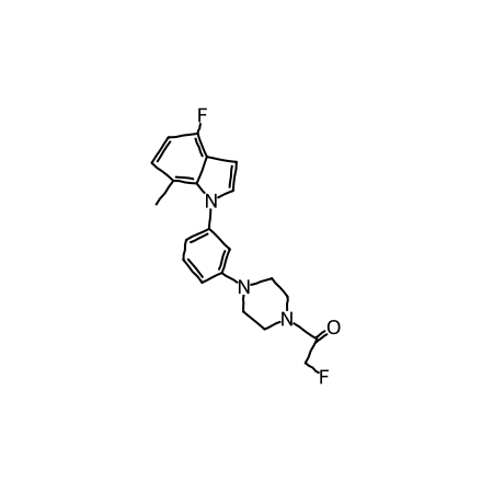 Cc1ccc(F)c2ccn(-c3cccc(N4CCN(C(=O)CF)CC4)c3)c12